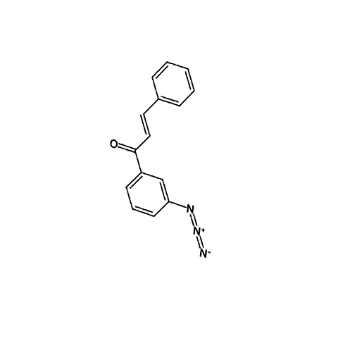 [N-]=[N+]=Nc1cccc(C(=O)/C=C/c2ccccc2)c1